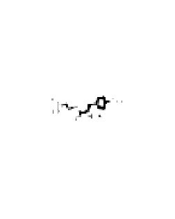 CCN(CC)CCNC(=O)/C(=C/c1ccc(OC(C)=O)cc1)NC(C)=O